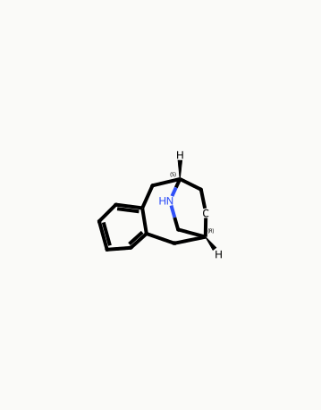 c1ccc2c(c1)C[C@H]1CC[C@@H](C2)NC1